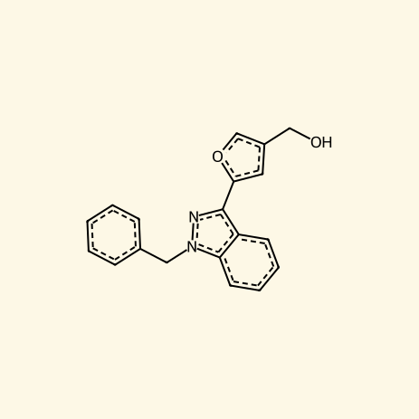 OCc1coc(-c2nn(Cc3ccccc3)c3ccccc23)c1